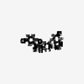 O=C(NC1CCN(c2ncnc3cc(Cl)ccc23)CC1)N(S)c1cccc(Cl)c1